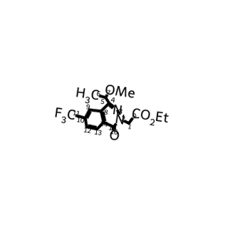 CCOC(=O)Cn1nc(C(C)OC)c2cc(C(F)(F)F)ccc2c1=O